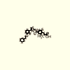 CC(=Cc1c(F)cc(C(=O)Nc2nc(-c3cccc(OCCC4CCCCC4)c3F)cs2)cc1F)C(=O)O